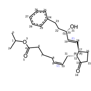 CC(C)OC(=O)CCC/C=C\C[C@H]1C(=O)CC[C@@H]1/C=C/[C@@H](O)CCc1ccccc1